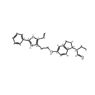 CCc1oc(-c2ccccc2)nc1CCOc1ccc2c(c1)CCC2C(C=O)CC